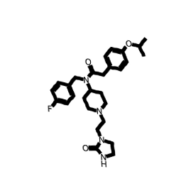 CC(C)Oc1ccc(CC(=O)N(Cc2ccc(F)cc2)C2CCN(CCN3CCNC3=O)CC2)cc1